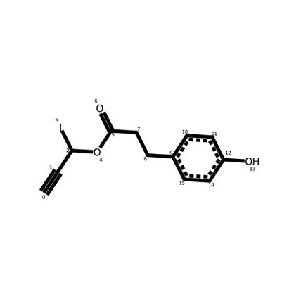 C#CC(I)OC(=O)CCc1ccc(O)cc1